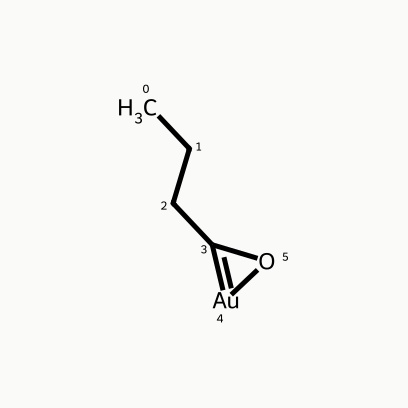 CCC[C]1=[Au][O]1